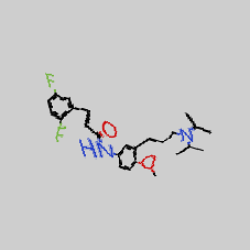 COc1ccc(NC(=O)/C=C/c2cc(F)ccc2F)cc1CCCN(C(C)C)C(C)C